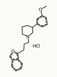 COc1cccc(C2CCCN(CCCc3occ4ccccc34)C2)c1.Cl